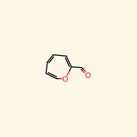 O=[C]C1=CC=CC=CO1